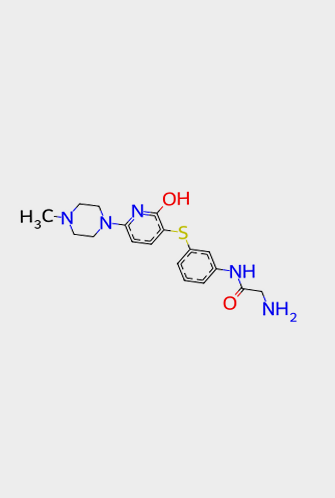 CN1CCN(c2ccc(Sc3cccc(NC(=O)CN)c3)c(O)n2)CC1